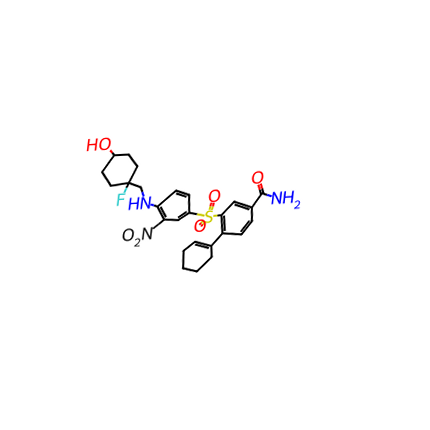 NC(=O)c1ccc(C2=CCCCC2)c(S(=O)(=O)c2ccc(NCC3(F)CCC(O)CC3)c([N+](=O)[O-])c2)c1